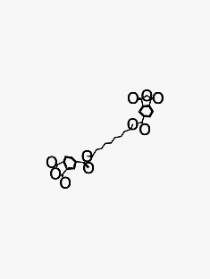 O=C(OCCCCCCCCCOC(=O)c1ccc2c(c1)C(=O)OC2=O)c1ccc2c(c1)C(=O)OC2=O